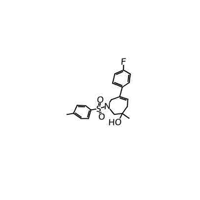 Cc1ccc(S(=O)(=O)N2CC(c3ccc(F)cc3)=CCC(C)(O)C2)cc1